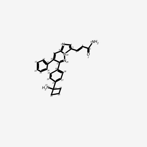 NC(=O)C=Cc1cnc2cc(-c3ccccc3)c(-c3ccc(C4(N)CCC4)cc3)nn12